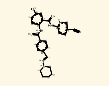 C#Cc1ccc(NC(=O)c2cc(Cl)ccc2NC(=O)c2ccc(C=NN3CCCCC3)cc2)nc1